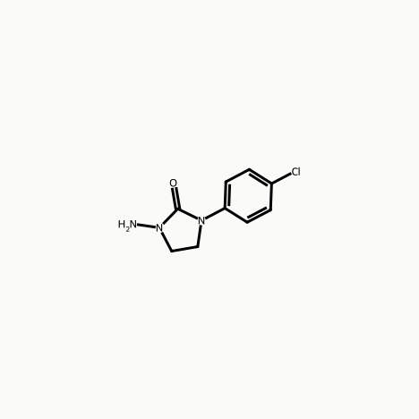 NN1CCN(c2ccc(Cl)cc2)C1=O